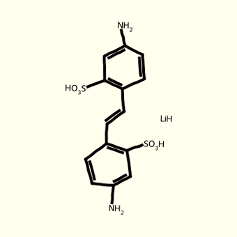 Nc1ccc(C=Cc2ccc(N)cc2S(=O)(=O)O)c(S(=O)(=O)O)c1.[LiH]